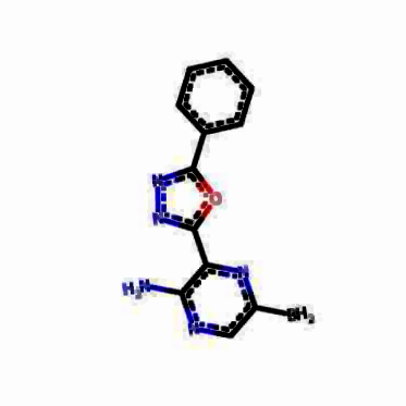 Bc1cnc(N)c(-c2nnc(-c3ccccc3)o2)n1